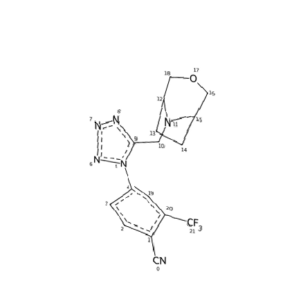 N#Cc1ccc(-n2nnnc2CN2C3CCC2COC3)cc1C(F)(F)F